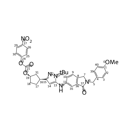 COc1ccc(CN2Cc3ccc(Nc4cc([C@H]5CC[C@@H](OC(=O)Oc6ccc([N+](=O)[O-])cc6)C5)nn4C(C)(C)C)cc3C2=O)cc1